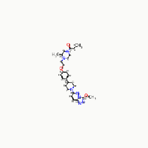 CCC(=O)N1CCN(CCOc2ccc(C3CCN(c4ccc5nnc(OC)n5n4)CC3)cc2)C(C)C1